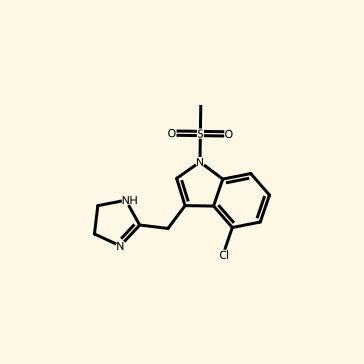 CS(=O)(=O)n1cc(CC2=NCCN2)c2c(Cl)cccc21